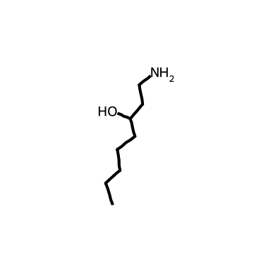 CCCCCC(O)CCN